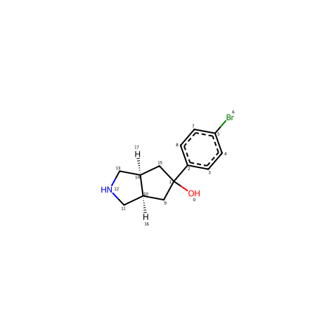 OC1(c2ccc(Br)cc2)C[C@H]2CNC[C@H]2C1